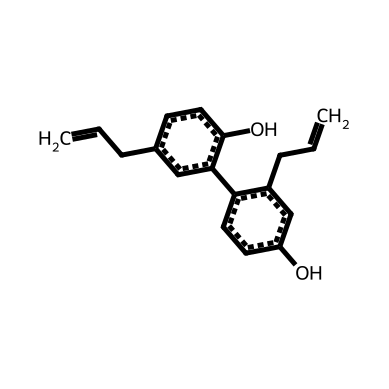 C=CCc1ccc(O)c(-c2ccc(O)cc2CC=C)c1